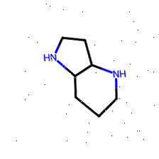 [CH]1CCC2NCCC2N1